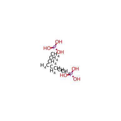 C.C.C.C.C.C.C.C.OP(O)O.OP(O)O